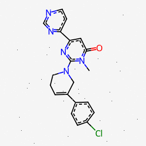 Cn1c(N2CCC=C(c3ccc(Cl)cc3)C2)nc(-c2ccncn2)cc1=O